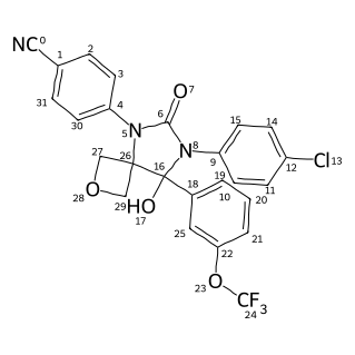 N#Cc1ccc(N2C(=O)N(c3ccc(Cl)cc3)C(O)(c3cccc(OC(F)(F)F)c3)C23COC3)cc1